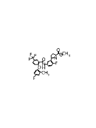 COC(=O)C1CCC(c2cc(NC(=O)c3cc(C(F)(F)F)ccc3Oc3ccc(F)cc3C)ccc2F)=N1